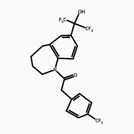 O=C(Cc1ccc(C(F)(F)F)cc1)N1CCCCc2cc(C(O)(C(F)(F)F)C(F)(F)F)ccc21